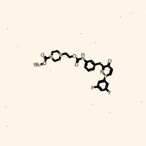 CC(C)(C)OC(=O)N1CCN(CCOC(=O)Nc2cccc(Cc3nn(-c4cc(F)cc(F)c4)ccc3=O)c2)CC1